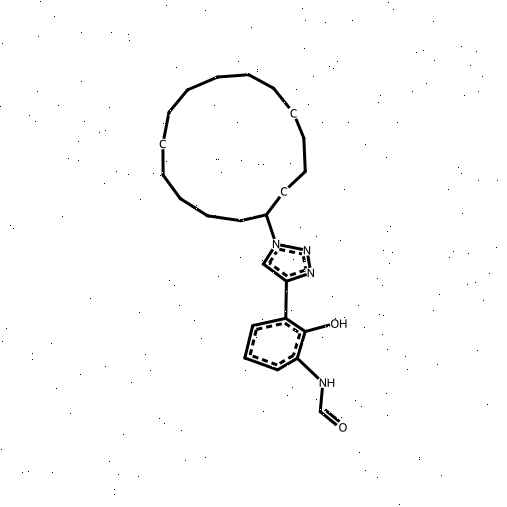 O=CNc1cccc(-c2cn(C3CCCCCCCCCCCCCC3)nn2)c1O